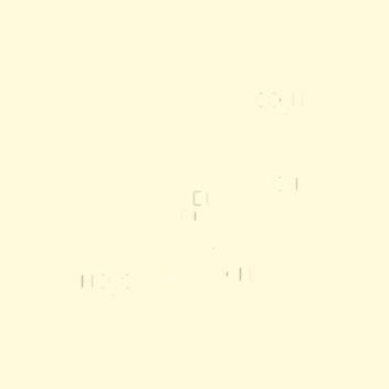 CCC(C)(/C=C/C(=O)O)CC(C)(/C=C/C(=O)O)CC